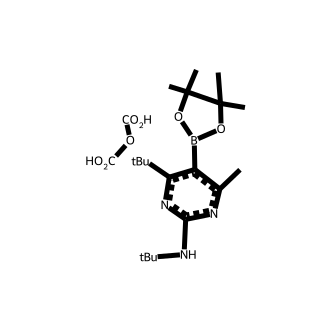 Cc1nc(NC(C)(C)C)nc(C(C)(C)C)c1B1OC(C)(C)C(C)(C)O1.O=C(O)OC(=O)O